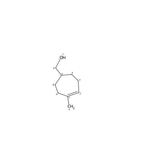 CC1=CCCC(CO)CC1